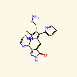 Cc1[nH]c(/C=C2/C(=O)NN=C2c2cnccn2)c(-c2ccccn2)c1CCN